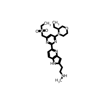 CCC1COCCN1c1cc(CS(=O)(=O)CC)nc(-c2ccc3[nH]c(CCNC)cc3n2)n1